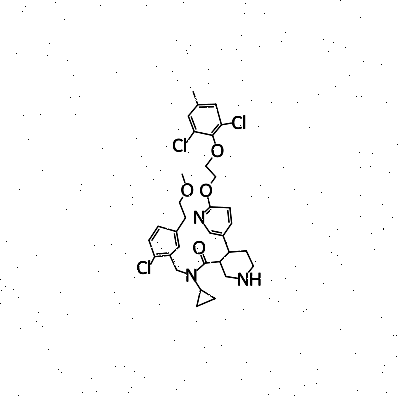 COCCc1ccc(Cl)c(CN(C(=O)C2CNCCC2c2ccc(OCCOc3c(Cl)cc(C)cc3Cl)nc2)C2CC2)c1